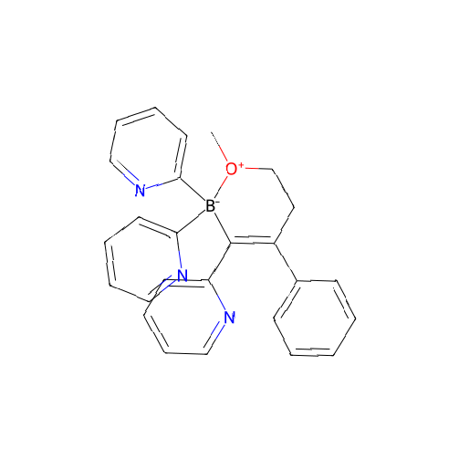 C[O+]1CCC(c2ccccc2)=C(c2ccccn2)[B-]1(c1ccccn1)c1ccccn1